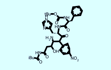 CCC(C)C(=O)NC(=O)CC(O)C(N)C(C(=O)[C@H](Cc1c[nH]cn1)NC(=O)[C@H](Cc1ccccc1)NC(=O)OC(C)(C)C)c1ccc([N+](=O)[O-])cc1